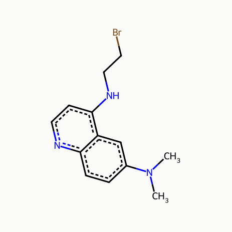 CN(C)c1ccc2nccc(NCCBr)c2c1